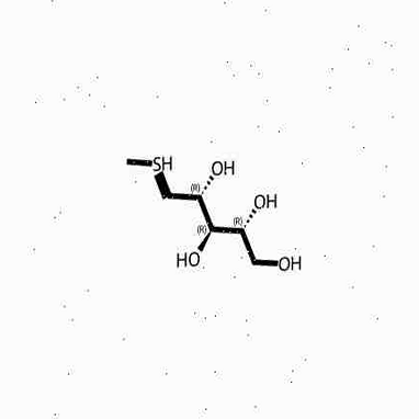 C[SH]=C[C@H](O)[C@H](O)[C@H](O)CO